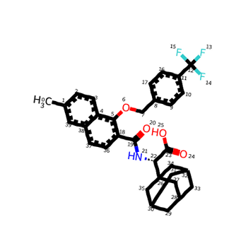 Cc1ccc2c(OCc3ccc(C(F)(F)F)cc3)c(C(=O)N[C@H](C(=O)O)C34CC5CC(CC(C5)C3)C4)ccc2c1